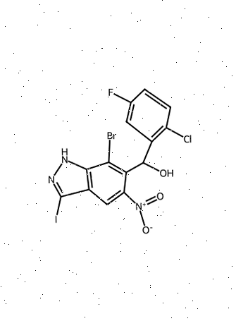 O=[N+]([O-])c1cc2c(I)n[nH]c2c(Br)c1C(O)c1cc(F)ccc1Cl